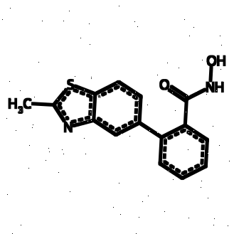 Cc1nc2cc(-c3ccccc3C(=O)NO)ccc2s1